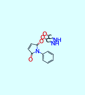 N=C=O.N=C=O.O=C1C=CC(=O)N1c1ccccc1